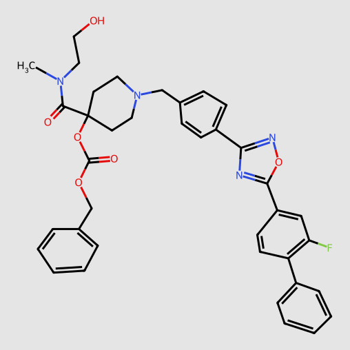 CN(CCO)C(=O)C1(OC(=O)OCc2ccccc2)CCN(Cc2ccc(-c3noc(-c4ccc(-c5ccccc5)c(F)c4)n3)cc2)CC1